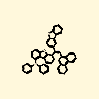 c1ccc2c3c(cc(/C=C(/c4ccc5oc6ccccc6c5c4)C4CC=Cc5c4oc4cccc(N(c6ccccc6)c6ccccc6)c54)c2c#1)C=CCC3